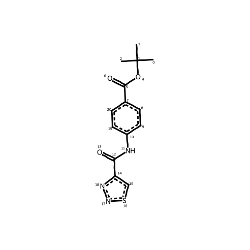 CC(C)(C)OC(=O)c1ccc(NC(=O)c2csnn2)cc1